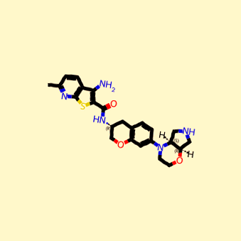 Cc1ccc2c(N)c(C(=O)N[C@H]3COc4cc(N5CCO[C@@H]6CNC[C@@H]65)ccc4C3)sc2n1